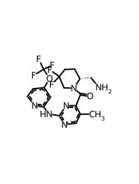 Cc1cnc(Nc2cc(OC(F)(F)F)ccn2)nc1C(=O)N1CC(F)(F)CC[C@@H]1CN